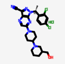 C[C@H](c1ccc(Cl)cc1Cl)n1nc(C#N)c2ncc(N3CCC(N4CCCC(CO)C4)CC3)nc21.Cl